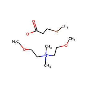 COCC[N+](C)(C)CCOC.CSCCC(=O)[O-]